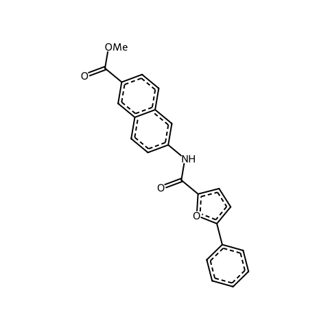 COC(=O)c1ccc2cc(NC(=O)c3ccc(-c4ccccc4)o3)ccc2c1